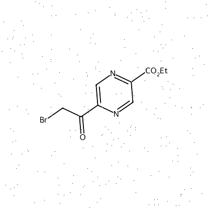 CCOC(=O)c1cnc(C(=O)CBr)cn1